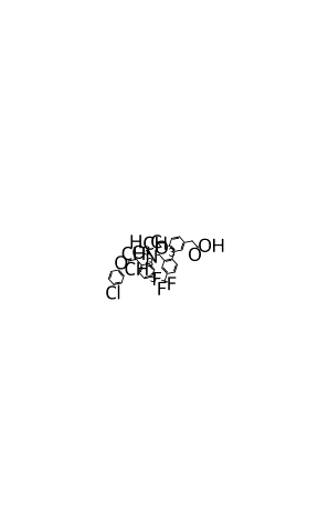 CCN(Cc1cc(C(F)(F)F)ccc1-c1cc(CC(=O)O)ccc1OC)c1ccccc1C(=O)C(C)(C)Oc1ccc(Cl)cc1